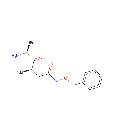 CCCC[C@H](CC(=O)NOCc1ccccc1)C(=O)[C@@H](N)C(C)C